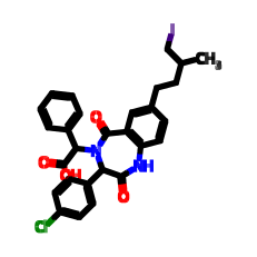 CC(CI)CCc1ccc2c(c1)C(=O)N(C(C(=O)O)c1ccccc1)C(c1ccc(Cl)cc1)C(=O)N2